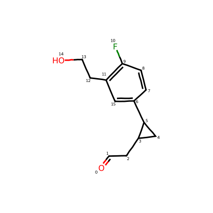 O=CCC1CC1c1ccc(F)c(CCO)c1